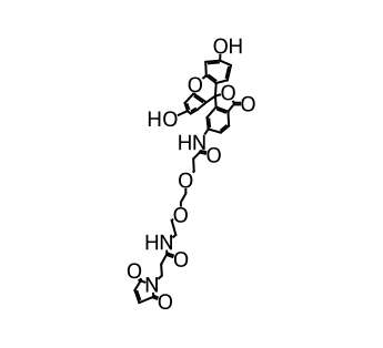 O=C(CCN1C(=O)C=CC1=O)NCCOCCOCCC(=O)Nc1ccc2c(c1)C1(OC2=O)c2ccc(O)cc2Oc2cc(O)ccc21